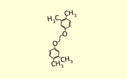 Cc1ccc(OCCOc2ccc(C)c(C)c2)cc1C